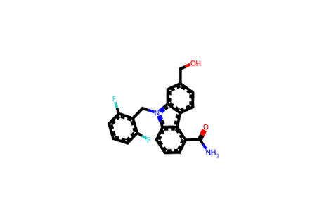 NC(=O)c1cccc2c1c1[c]cc(CO)cc1n2Cc1c(F)cccc1F